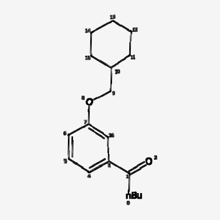 CCCCC(=O)c1cccc(OCC2CCCCC2)c1